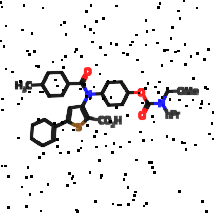 CCCN(COC)C(=O)OC1CCC(N(C(=O)C2CCC(C)CC2)c2cc(C3=CCCCC3)sc2C(=O)O)CC1